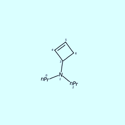 CCCN(CCC)C1C=CC1